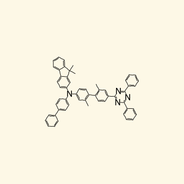 Cc1cc(-c2nc(-c3ccccc3)nc(-c3ccccc3)n2)ccc1-c1ccc(N(c2ccc(-c3ccccc3)cc2)c2ccc3c(c2)C(C)(C)c2ccccc2-3)cc1C